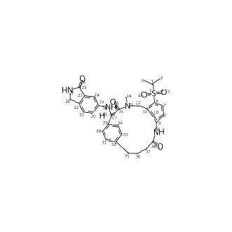 CC(C)S(=O)(=O)c1ccc2cc1CN(C)C(=O)[C@H](Nc1ccc3c(c1)C(=O)NC3)c1ccc(cc1)CCCC(=O)N2